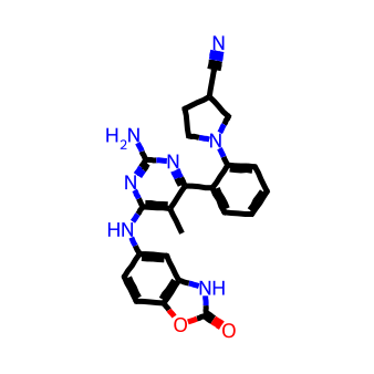 Cc1c(Nc2ccc3oc(=O)[nH]c3c2)nc(N)nc1-c1ccccc1N1CCC(C#N)C1